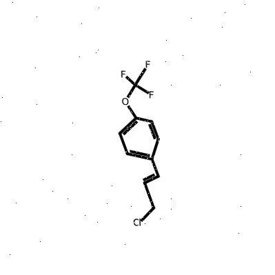 FC(F)(F)Oc1ccc(/C=C/CCl)cc1